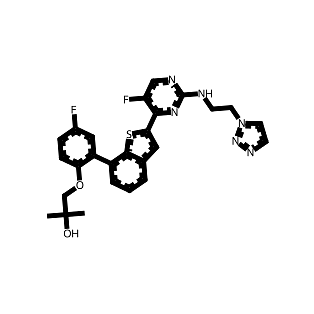 CC(C)(O)COc1ccc(F)cc1-c1cccc2cc(-c3nc(NCCn4ccnn4)ncc3F)sc12